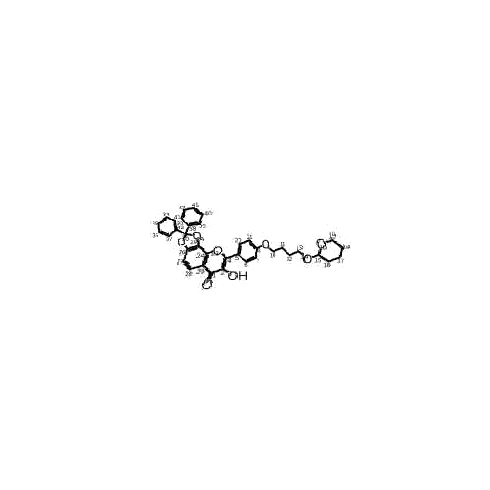 O=c1c(O)c(-c2ccc(OCCCCOC3CCCCO3)cc2)oc2c3c(ccc12)OC(c1ccccc1)(c1ccccc1)O3